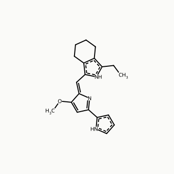 CCc1[nH]c(C=C2N=C(c3ccc[nH]3)C=C2OC)c2c1CCCC2